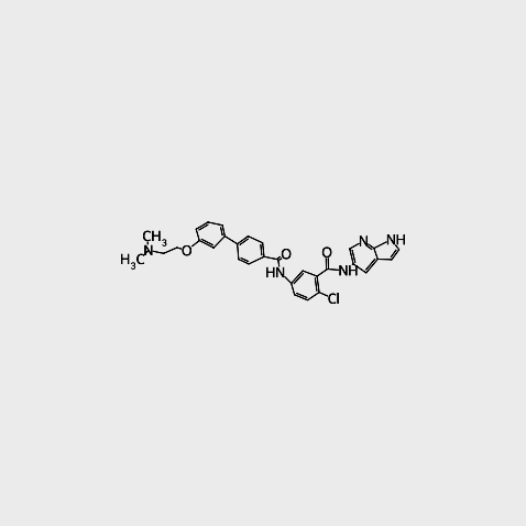 CN(C)CCOc1cccc(-c2ccc(C(=O)Nc3ccc(Cl)c(C(=O)Nc4cnc5[nH]ccc5c4)c3)cc2)c1